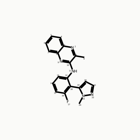 Cc1nc2ccccc2nc1Nc1cccc(F)c1-c1ccnn1C